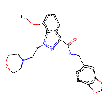 COc1cccc2c(C(=O)NCc3ccc4c(c3)OCO4)nn(CCN3CCOCC3)c12